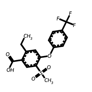 CCc1cc(Oc2ccc(C(F)(F)F)cc2)c(S(C)(=O)=O)cc1C(=O)O